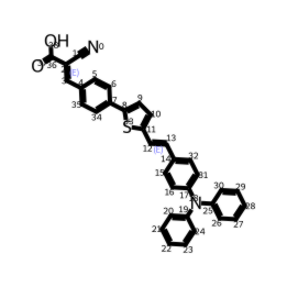 N#C/C(=C\c1ccc(-c2ccc(/C=C/c3ccc(N(c4ccccc4)c4ccccc4)cc3)s2)cc1)C(=O)O